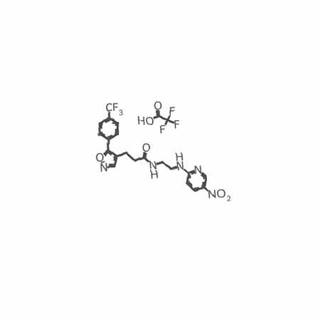 O=C(CCc1cnoc1-c1ccc(C(F)(F)F)cc1)NCCNc1ccc([N+](=O)[O-])cn1.O=C(O)C(F)(F)F